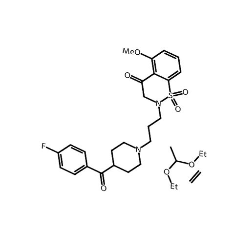 C=C.CCOC(C)OCC.COc1cccc2c1C(=O)CN(CCCN1CCC(C(=O)c3ccc(F)cc3)CC1)S2(=O)=O